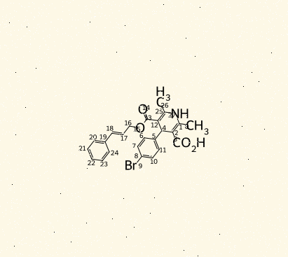 CC1=C(C(=O)O)C(c2ccc(Br)cc2)C(C(=O)OCC=Cc2ccccc2)=C(C)N1